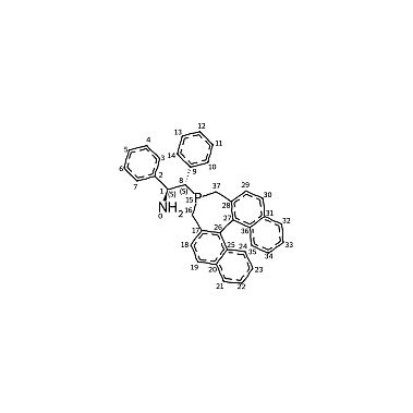 N[C@@H](c1ccccc1)[C@H](c1ccccc1)P1Cc2ccc3ccccc3c2-c2c(ccc3ccccc23)C1